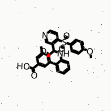 COc1ccc(S(=O)(=O)c2ccncc2C(C=O)Nc2ccccc2-c2cc(C)cc(C(=O)O)c2)cc1